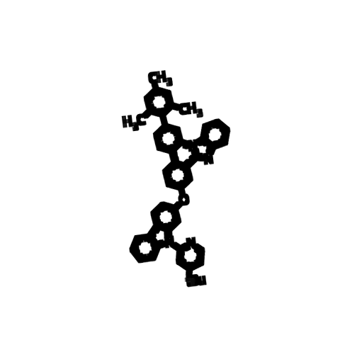 Cc1cc(C)c(-c2ccc3c4ccc(Oc5ccc6c7ccccc7n(-c7cc(C(C)(C)C)ccn7)c6c5)cc4c4nc5ccccc5n4c3c2)c(C)c1